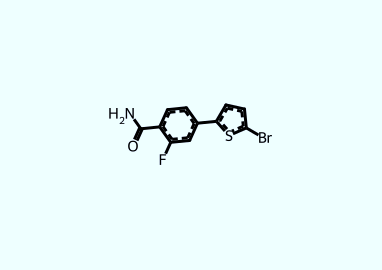 NC(=O)c1ccc(-c2ccc(Br)s2)cc1F